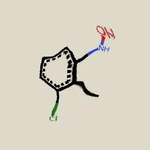 Cc1c(Cl)cccc1NO